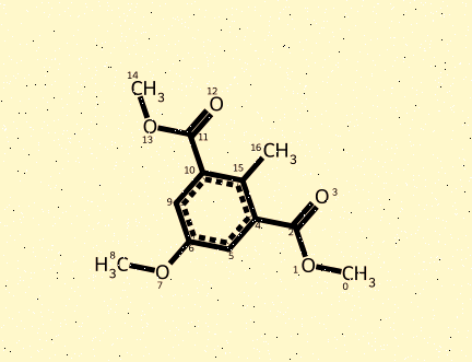 COC(=O)c1cc(OC)cc(C(=O)OC)c1C